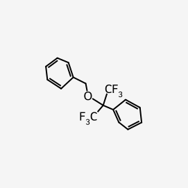 FC(F)(F)C(OCc1ccccc1)(c1ccccc1)C(F)(F)F